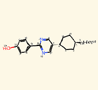 CCCCCCC[C@H]1CC[C@H](c2cnc(-c3ccc(O)cc3)nc2)CC1